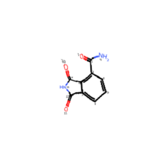 NC(=O)c1cccc2c1C(=O)NC2=O